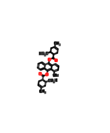 CC1=CCC(C(=O)Oc2c3ccccc3c(OC(=O)C3CC=C(C)CC3C(=O)O)c3c(C(C)(C)C)cccc23)C(C(=O)O)C1